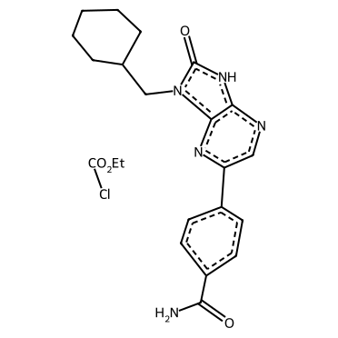 CCOC(=O)Cl.NC(=O)c1ccc(-c2cnc3[nH]c(=O)n(CC4CCCCC4)c3n2)cc1